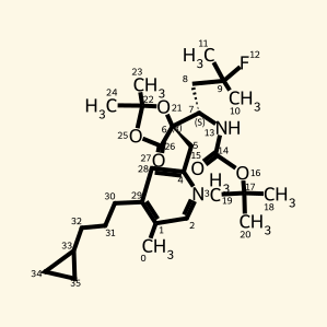 Cc1cnc(C[C@]2([C@H](CC(C)(C)F)NC(=O)OC(C)(C)C)OC(C)(C)OC2=O)cc1CCCC1CC1